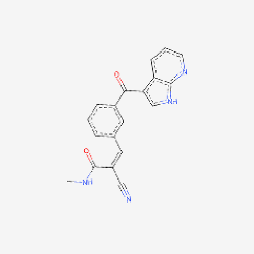 CNC(=O)C(C#N)=Cc1cccc(C(=O)c2c[nH]c3ncccc23)c1